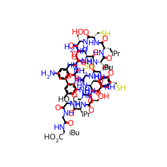 CC[C@H](C)[C@H](NC(=O)CNC(=O)[C@H](Cc1ccccc1)NC(=O)[C@@H](NC(=O)[C@H](CO)NC(=O)[C@H](Cc1ccccc1)NC(=O)[C@H](CS)NC(=O)[C@@H](NC(=O)[C@H](CS)NC(=O)CNC(=O)[C@H](CC(=O)O)NC(=O)[C@H](CCCCN)NC(=O)CNC(=O)CNC(=O)[C@H](CO)NC(=O)[C@H](CS)NC(=O)[C@H](CC(C)C)NC(=O)[C@@H](NC(=O)[C@H](CC(N)=O)NC(=O)[C@@H](N)Cc1ccccc1)[C@@H](C)CC)C(C)C)C(C)C)C(=O)O